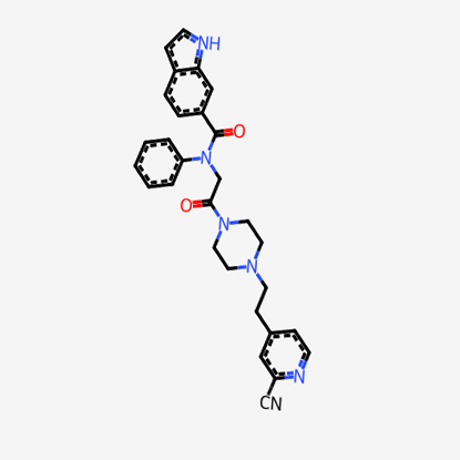 N#Cc1cc(CCN2CCN(C(=O)CN(C(=O)c3ccc4cc[nH]c4c3)c3ccccc3)CC2)ccn1